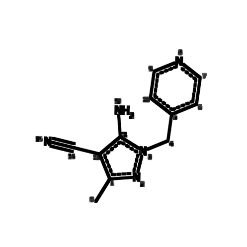 Cc1nn(Cc2ccncc2)c(N)c1C#N